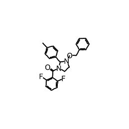 Cc1ccc(C2N(OCc3ccccc3)CCN2C(=O)c2c(F)cccc2F)cc1